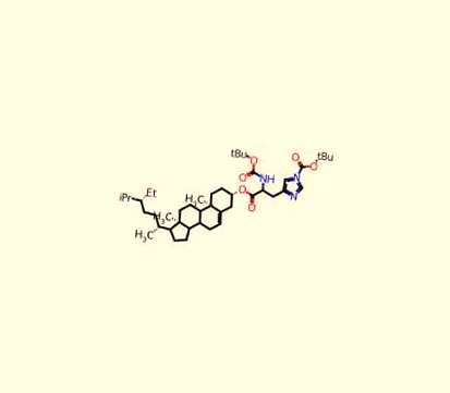 CC[C@H](CC[C@@H](C)C1CCC2C3CC=C4C[C@@H](OC(=O)C(Cc5cn(C(=O)OC(C)(C)C)cn5)NC(=O)OC(C)(C)C)CC[C@]4(C)C3CC[C@@]21C)C(C)C